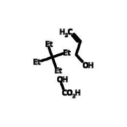 C=CCO.CCC(CC)(CC)CC.O=C(O)O